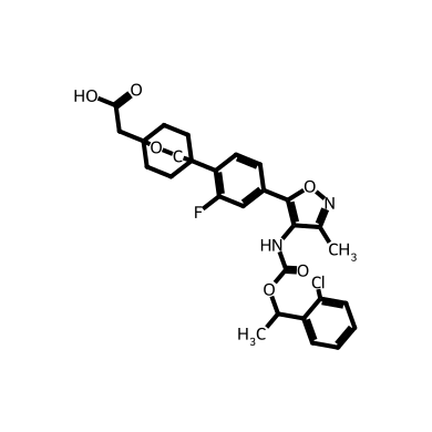 Cc1noc(-c2ccc(C34CCC(CC(=O)O)(CC3)OC4)c(F)c2)c1NC(=O)OC(C)c1ccccc1Cl